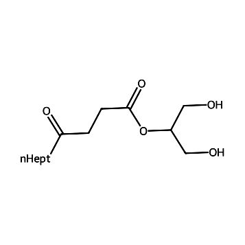 CCCCCCCC(=O)CCC(=O)OC(CO)CO